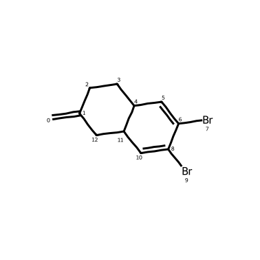 C=C1CCC2C=C(Br)C(Br)=CC2C1